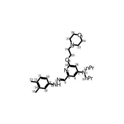 CCCN(CCC)c1cc(/C=N/Nc2ccc(C)c(C)c2)nc(OCCN2CCOCC2)c1